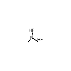 CN(C)C.F.F